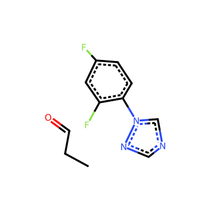 CCC=O.Fc1ccc(-n2cncn2)c(F)c1